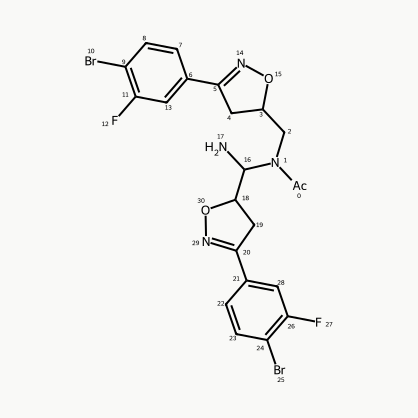 CC(=O)N(CC1CC(c2ccc(Br)c(F)c2)=NO1)C(N)C1CC(c2ccc(Br)c(F)c2)=NO1